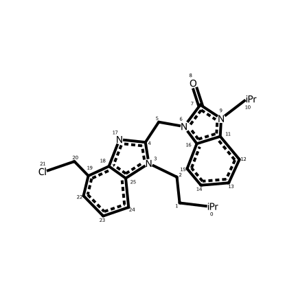 CC(C)CCn1c(Cn2c(=O)n(C(C)C)c3ccccc32)nc2c(CCl)cccc21